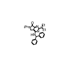 CCN(CC)c1nc(NC(c2ccccc2)c2ccccc2)c2c(n1)C(=O)N(C(C)C)C2